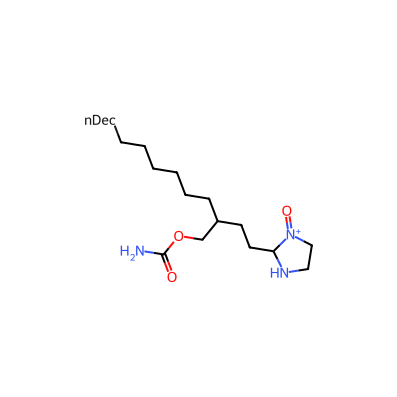 CCCCCCCCCCCCCCCCC(CCC1NCC[N+]1=O)COC(N)=O